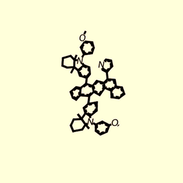 COc1cccc(N2c3ccc(-c4c5ccccc5c(-c5ccc6c(c5)C5(C)CCCCC5(C)N6c5cccc(OC)c5)c5cc6c(cc45)c(-c4cccnc4)cc4ccccc46)cc3C3(C)CCCCC23C)c1